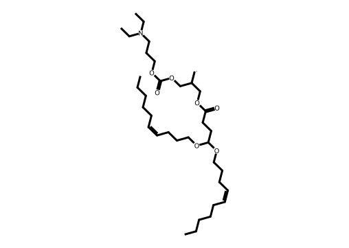 [CH2]C(COC(=O)CCC(OCCC/C=C\CCCCC)OCCC/C=C\CCCCC)COC(=O)OCCCN(CC)CC